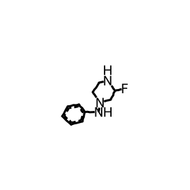 FC1CN(Nc2ccccc2)CCN1